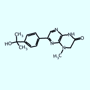 CN1CC(=O)Nc2ncc(-c3ccc(C(C)(C)O)cc3)nc21